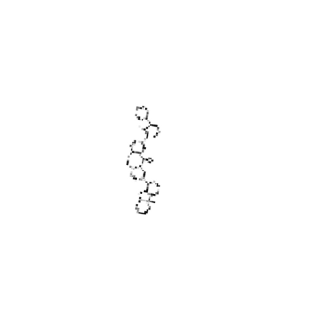 CC12C=CC=CC1Cc1c(C3=CC4C(=O)c5cc(-c6cccc7c6Cc6ccccc6-7)ccc5CCC4C=C3)cccc12